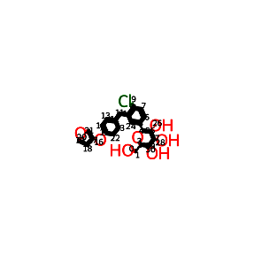 OC[C@H]1O[C@@H](c2ccc(Cl)c(CC3=CC=C(O[C@H]4CCOC4)CC3)c2)[C@H](O)[C@@H](O)[C@@H]1O